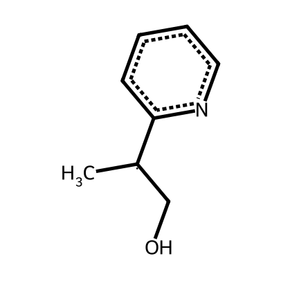 C[C](CO)c1ccccn1